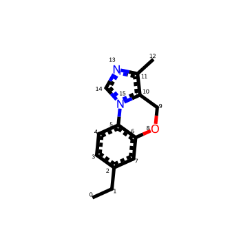 CCc1ccc2c(c1)OCc1c(C)ncn1-2